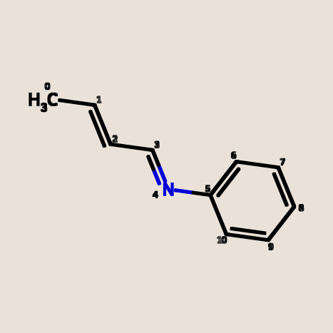 CC=CC=Nc1ccccc1